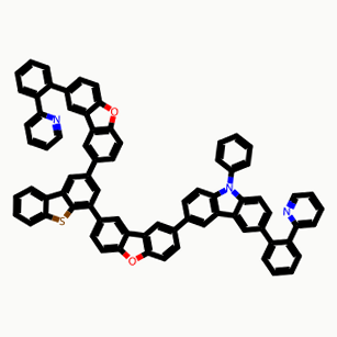 c1ccc(-n2c3ccc(-c4ccc5oc6ccc(-c7cc(-c8ccc9oc%10ccc(-c%11ccccc%11-c%11ccccn%11)cc%10c9c8)cc8c7sc7ccccc78)cc6c5c4)cc3c3cc(-c4ccccc4-c4ccccn4)ccc32)cc1